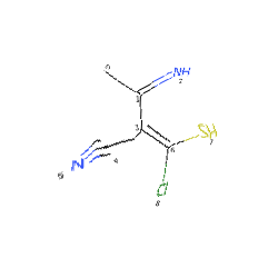 CC(=N)/C(C#N)=C(\S)Cl